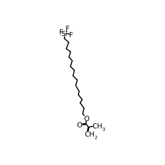 C=C(C)C(=O)OCCCCCCCCCCCCCCCCC[Si](F)(F)F